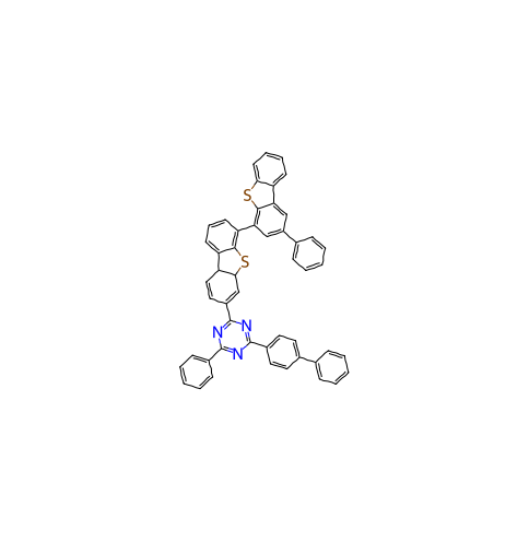 C1=CC2c3cccc(-c4cc(-c5ccccc5)cc5c4sc4ccccc45)c3SC2C=C1c1nc(-c2ccccc2)nc(-c2ccc(-c3ccccc3)cc2)n1